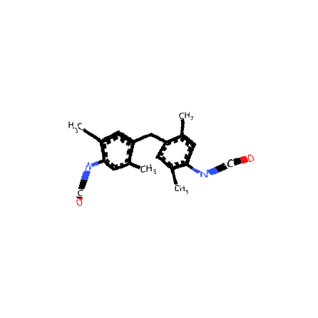 Cc1cc(N=C=O)c(C)cc1Cc1cc(C)c(N=C=O)cc1C